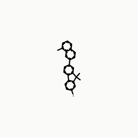 Cc1cccc2ccc(-c3ccc4c(c3)C(C)(C)c3cc(I)ccc3-4)cc12